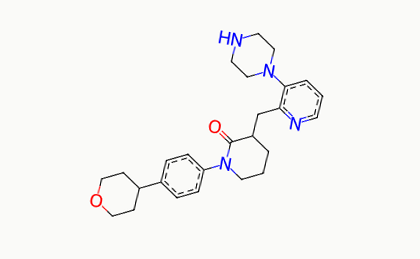 O=C1C(Cc2ncccc2N2CCNCC2)CCCN1c1ccc(C2CCOCC2)cc1